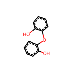 Oc1ccccc1Oc1ccccc1O